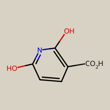 O=C(O)c1ccc(O)nc1O